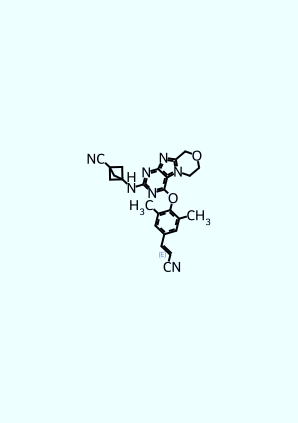 Cc1cc(/C=C/C#N)cc(C)c1Oc1nc(NC23CC(C#N)(C2)C3)nc2nc3n(c12)CCOC3